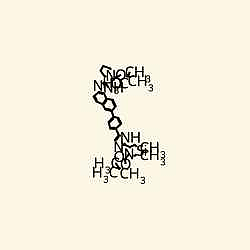 CC(C)(C)OC(=O)N1C[Si](C)(C)CC1c1ncc(-c2ccc(-c3ccc4c(ccc5nc([C@@H]6CCCN6C(=O)OC(C)(C)C)[nH]c54)c3)cc2)[nH]1